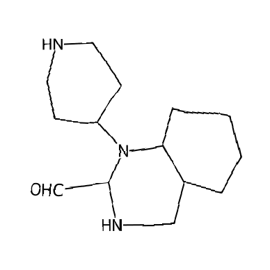 O=CC1NCC2CCCCC2N1C1CCNCC1